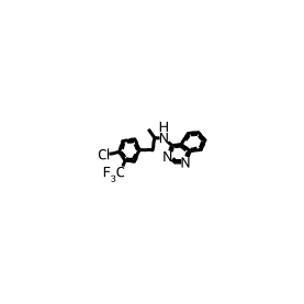 CC(Cc1ccc(Cl)c(C(F)(F)F)c1)Nc1ncnc2ccccc12